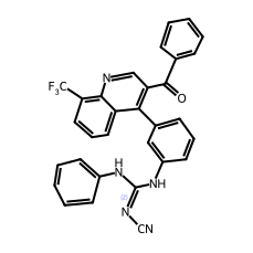 N#C/N=C(/Nc1ccccc1)Nc1cccc(-c2c(C(=O)c3ccccc3)cnc3c(C(F)(F)F)cccc23)c1